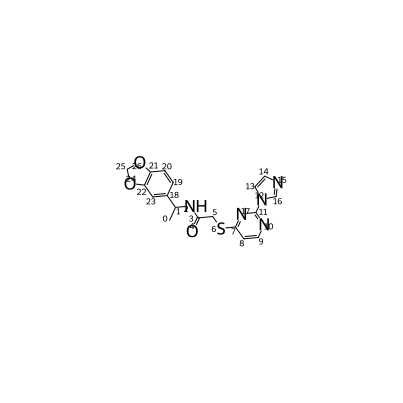 CC(NC(=O)CSc1ccnc(-n2ccnc2)n1)c1ccc2c(c1)OCO2